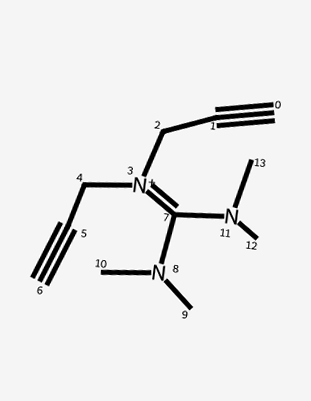 C#CC[N+](CC#C)=C(N(C)C)N(C)C